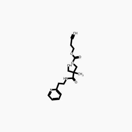 C#CCCOC(=O)OCC(C)(CO)C(=O)NCCc1ccccn1